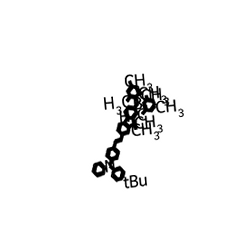 Cc1cc(C)c(B(c2ccc3c(c2)C(C)(C)c2cc(/C=C/c4ccc(N(c5ccccc5)c5ccc(C(C)(C)C)cc5)cc4)ccc2-3)c2c(C)cc(C)cc2C)c(C)c1